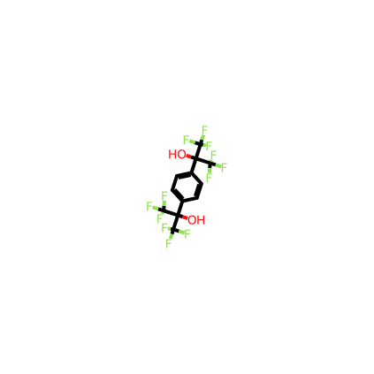 OC(c1ccc(C(O)(C(F)(F)F)C(F)(F)F)cc1)(C(F)(F)F)C(F)(F)F